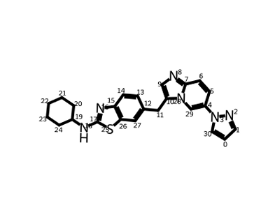 c1cnn(-c2ccc3ncc(Cc4ccc5nc(NC6CCCCC6)sc5c4)n3c2)c1